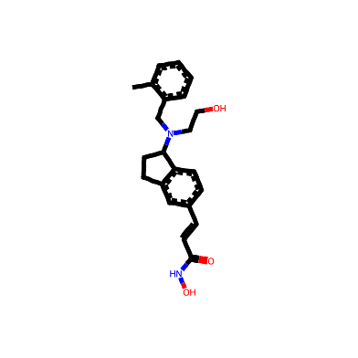 Cc1ccccc1CN(CCO)C1CCc2cc(C=CC(=O)NO)ccc21